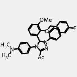 COc1cccc(C2N(c3ccccc3)N=C(C(C)=O)N2c2ccc(N(C)C)cc2)c1OCc1ccc(F)cc1